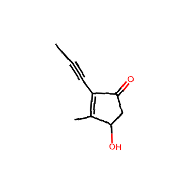 CC#CC1=C(C)C(O)CC1=O